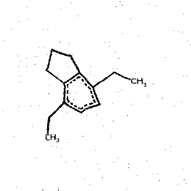 CCc1ccc(CC)c2c1CCC2